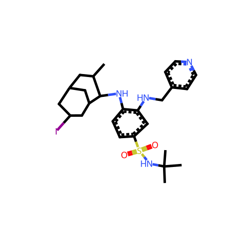 CC1CC2CC(I)CC(C2)C1Nc1ccc(S(=O)(=O)NC(C)(C)C)cc1NCc1ccncc1